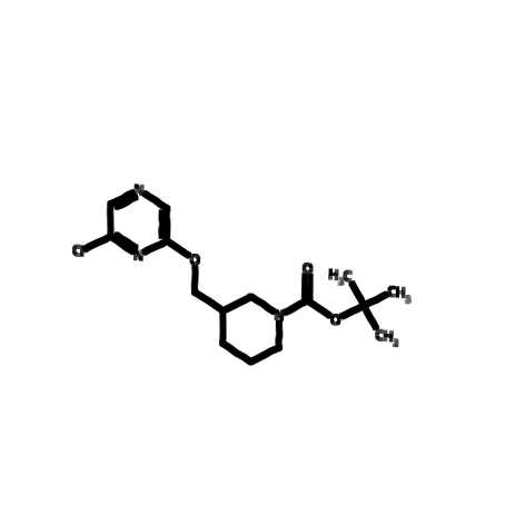 CC(C)(C)OC(=O)N1CCCC(COc2cncc(Cl)n2)C1